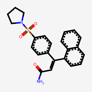 NC(=O)C=C(c1ccc(S(=O)(=O)N2CCCC2)cc1)c1cccc2ccccc12